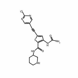 NC(=O)Nc1cc(C#Cc2cnc(Cl)nc2)sc1C(=O)NC1CCCNC1